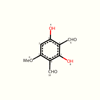 COc1cc(O)c(C=O)c(O)c1C=O